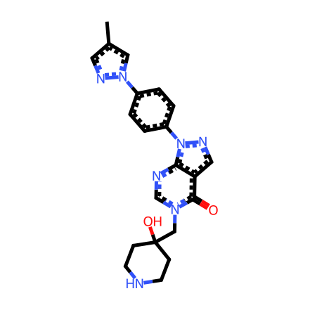 Cc1cnn(-c2ccc(-n3ncc4c(=O)n(CC5(O)CCNCC5)cnc43)cc2)c1